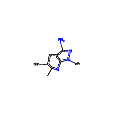 CCCc1cc2c(N)nn(CCC)c2nc1C